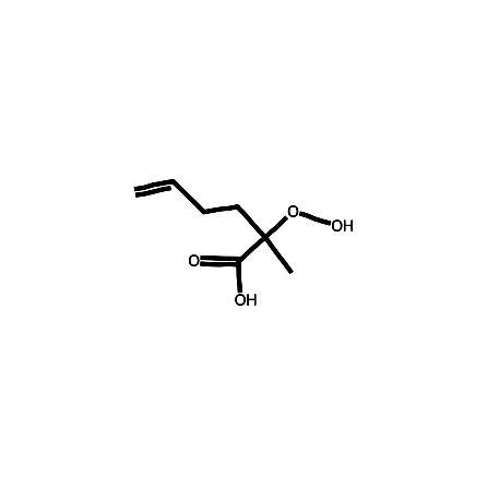 C=CCCC(C)(OO)C(=O)O